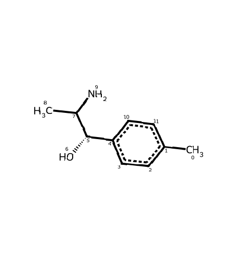 Cc1ccc([C@H](O)C(C)N)cc1